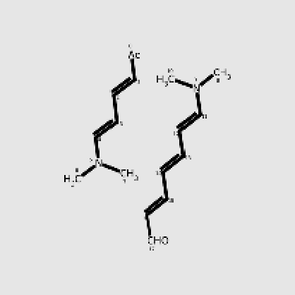 CC(=O)/C=C/C=C/N(C)C.CN(C)/C=C/C=C/C=C/C=O